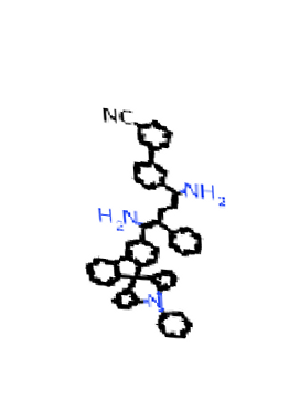 N#Cc1cccc(-c2cccc(/C(N)=C\C/C(=C(\N)c3ccc4c(c3)-c3ccccc3C43c4ccccc4N(c4ccccc4)c4ccccc43)c3ccccc3)c2)c1